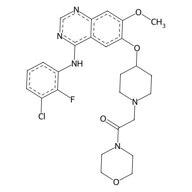 COc1cc2ncnc(Nc3cccc(Cl)c3F)c2cc1OC1CCN(CC(=O)N2CCOCC2)CC1